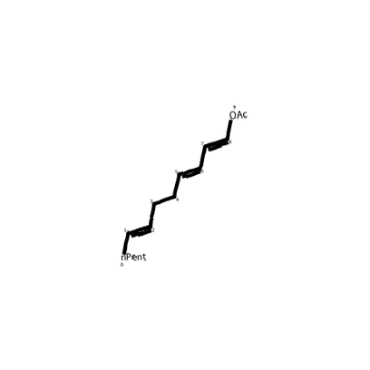 CCCCCC=CCCC=CC=COC(C)=O